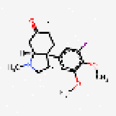 COc1cc([C@]23CCC(=O)C[C@H]2N(C)CC3)cc(I)c1OC